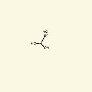 CCN(O)O.Cl